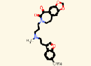 COc1ccc2c(CCN(C)CCCN3CCc4cc5c(cc4C(=O)C3=O)OCO5)coc2c1